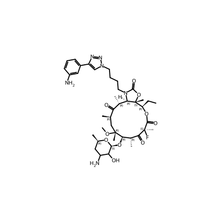 CC[C@H]1OC(=O)[C@@](C)(F)C(=O)[C@H](C)[C@@H](O[C@@H]2O[C@H](C)CC(N)C2O)[C@](C)(OC)C[C@@H](C)C(=O)[C@H](C)[C@H]2N(CCCCn3cc(-c4cccc(N)c4)nn3)C(=O)O[C@]12C